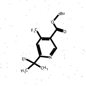 CCC(C)(C)c1cc(C(F)(F)F)c(C(=O)OC(C)(C)C)cn1